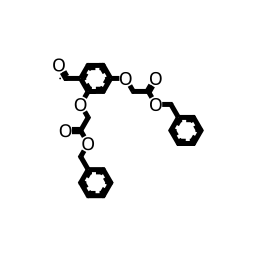 O=[C]c1ccc(OCC(=O)OCc2ccccc2)cc1OCC(=O)OCc1ccccc1